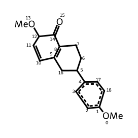 COc1ccc(C2CCC3=C(C=CC(OC)C3=O)C2)cc1